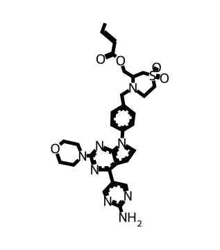 C/C=C/C(=O)OCC1CS(=O)(=O)CCN1Cc1ccc(-n2ccc3c(-c4cnc(N)nc4)nc(N4CCOCC4)nc32)cc1